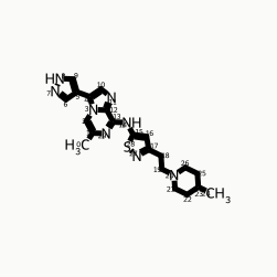 Cc1cn2c(-c3cn[nH]c3)cnc2c(Nc2cc(CCN3CCC(C)CC3)ns2)n1